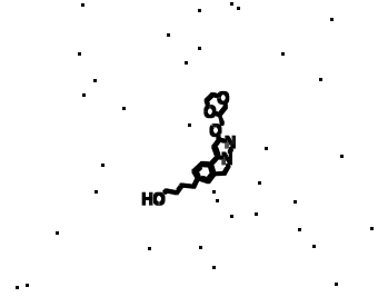 OCCCCc1ccc2c(c1)CCN1C=NC(OC[C@@H]3COCCO3)C=C21